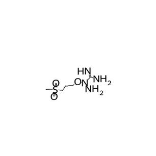 CS(=O)(=O)CCCON(N)C(=N)N